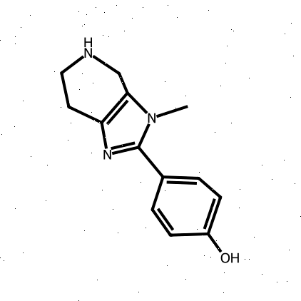 Cn1c(-c2ccc(O)cc2)nc2c1CNCC2